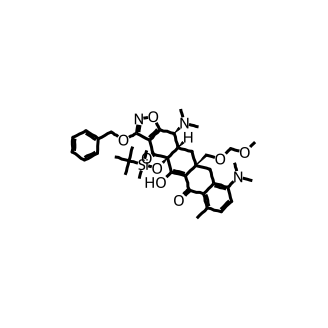 COCOC[C@@]12Cc3c(N(C)C)ccc(C)c3C(=O)C1=C(O)[C@]1(O[Si](C)(C)C(C)(C)C)C(=O)c3c(OCc4ccccc4)noc3[C@@H](N(C)C)[C@@H]1C2